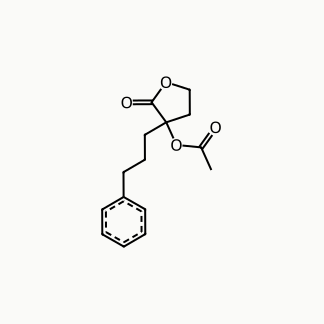 CC(=O)OC1(CCCc2ccccc2)CCOC1=O